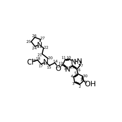 Oc1cccc(-c2cnn3ccc(OCCN(CCCl)CCCN4CCCC4)nc23)c1